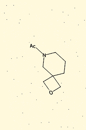 CC(=O)N1CCCC2(COC2)C1